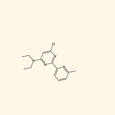 CCN(CC)c1cc(Cl)nc(-c2cccc(C)n2)n1